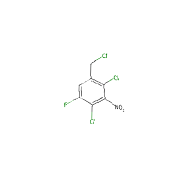 O=[N+]([O-])c1c(Cl)c(F)cc(CCl)c1Cl